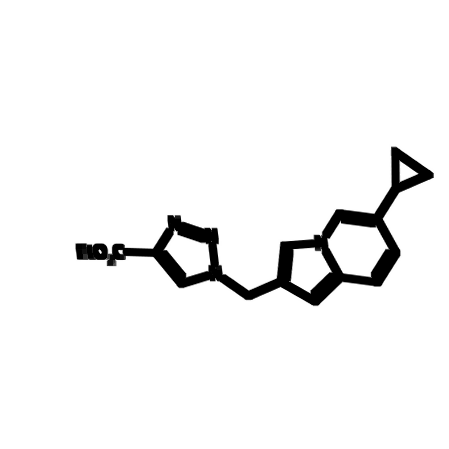 CCOC(=O)c1cn(Cc2cc3ccc(C4CC4)cn3c2)nn1